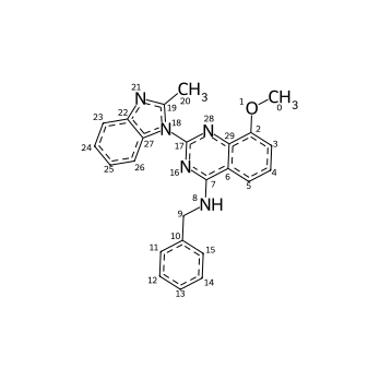 COc1cccc2c(NCc3ccccc3)nc(-n3c(C)nc4ccccc43)nc12